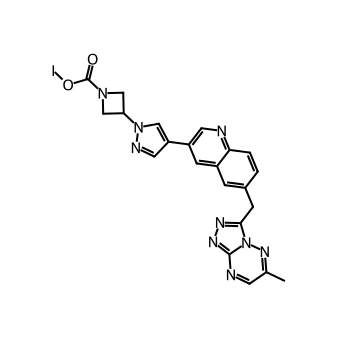 Cc1cnc2nnc(Cc3ccc4ncc(-c5cnn(C6CN(C(=O)OI)C6)c5)cc4c3)n2n1